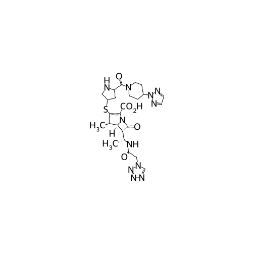 C[C@@H](NC(=O)Cn1cnnn1)[C@H]1C(=O)N2C(C(=O)O)=C(SC3CNC(C(=O)N4CCC(n5nccn5)CC4)C3)[C@H](C)[C@H]12